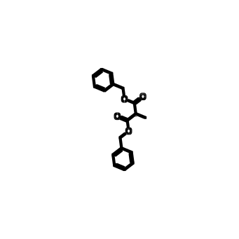 C[C](C(=O)OCc1ccccc1)C(=O)OCc1ccccc1